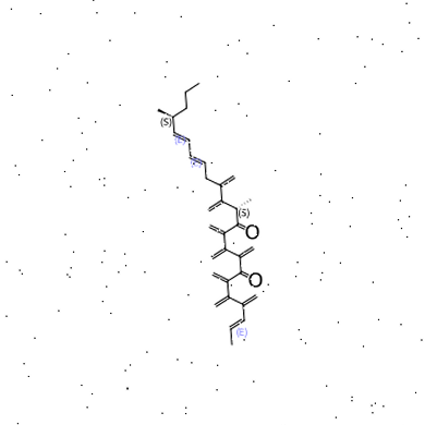 C=C(/C=C/C)C(=C)C(=C)C(=O)C(=C)C(=C)C(=C)C(=O)[C@@H](C)C(=C)C(=C)C/C=C/C=C/[C@@H](C)CCC